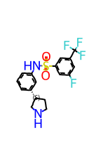 O=S(=O)(Nc1cccc([C@@H]2CCNC2)c1)c1cc(F)cc(C(F)(F)F)c1